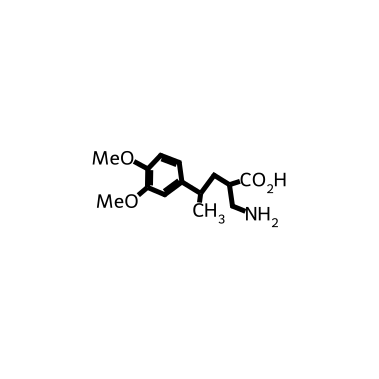 COc1ccc(C(C)CC(CN)C(=O)O)cc1OC